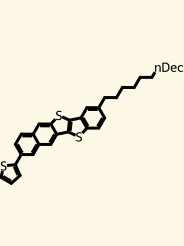 CCCCCCCCCCCCCCCCc1ccc2sc3c4cc5cc(-c6cccs6)ccc5cc4sc3c2c1